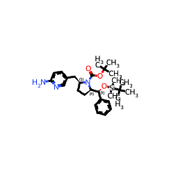 CC(C)(C)OC(=O)N1[C@H](Cc2ccc(N)nc2)CC[C@@H]1[C@H](O[Si](C)(C)C(C)(C)C)c1ccccc1